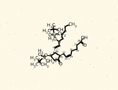 CCCCCC(/C=C/[C@H]1[C@H](O[Si](C)(C)C(C)(C)C)CC(=O)[C@@H]1C/C=C\CCCC(=O)O)O[Si](C)(C)C(C)(C)C